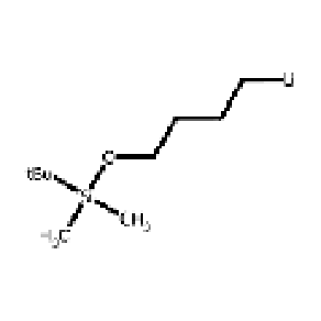 [Li][CH2]CCCO[Si](C)(C)C(C)(C)C